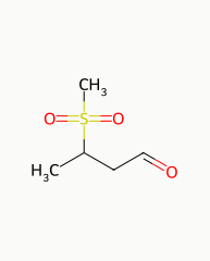 CC(CC=O)S(C)(=O)=O